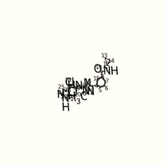 Cn1nc(-c2cccc(C(=O)NC3CC3)c2)nc1Nc1ccc2[nH]ncc2c1Cl